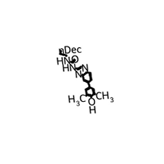 CCCCCCCCCCCCNC(=O)Nc1cnc2ccc(-c3cc(C)c(O)c(C)c3)cc2n1